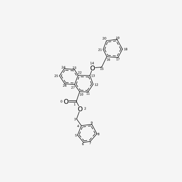 O=C(OCc1ccccc1)c1ccc(OCc2ccccc2)c2ccccc12